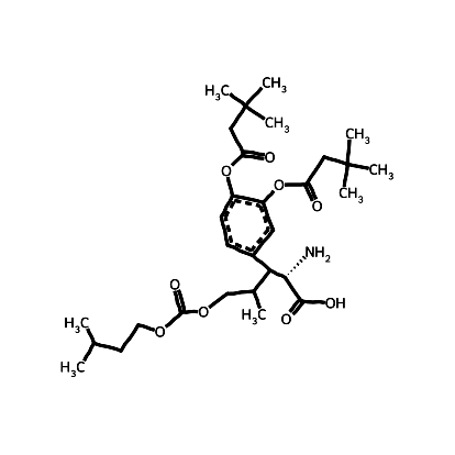 CC(C)CCOC(=O)OCC(C)C(c1ccc(OC(=O)CC(C)(C)C)c(OC(=O)CC(C)(C)C)c1)[C@H](N)C(=O)O